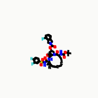 CC(C)(C)OC(=O)N[C@H]1CCCCC/C=C\[C@@H]2C[C@@]2(C(=O)NS(=O)(=O)c2ccc(F)c(F)c2)NC(=O)[C@@H]2C[C@@H](OC(=O)N3Cc4cccc(F)c4C3)CN2C1=O